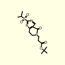 CC(C)S(=O)(=O)c1ncc2c(n1)CCN(CCC(=O)OC(C)(C)C)C2=O